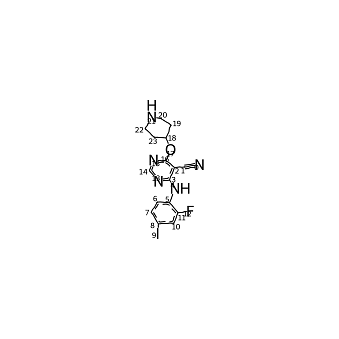 N#Cc1c(Nc2ccc(I)cc2F)ncnc1OC1CCNCC1